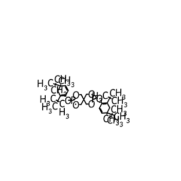 CC(C)(C)C1=C(OP2OCC3(CO2)COP(OC2=C(C(C)(C)C)CC(C)(C(C)(C)C)C=C2)OC3)C=CC(C)(C(C)(C)C)C1